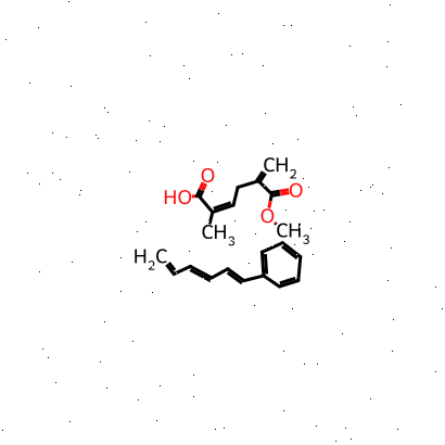 C=C(CC=C(C)C(=O)O)C(=O)OC.C=CC=CC=Cc1ccccc1